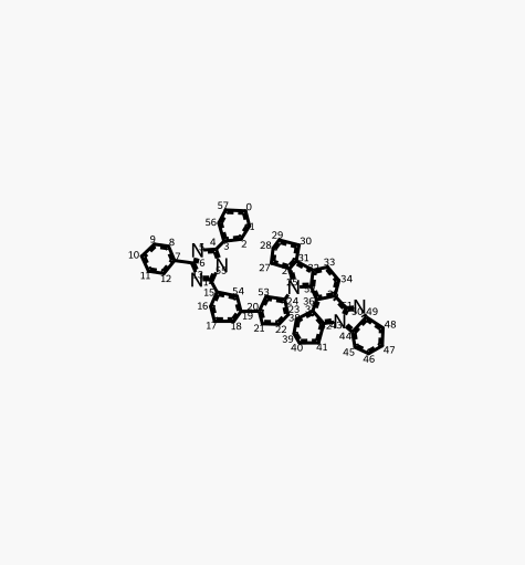 c1ccc(-c2nc(-c3ccccc3)nc(-c3cccc(-c4cccc(-n5c6ccccc6c6ccc7c(c8ccccc8n8c9ccccc9nc78)c65)c4)c3)n2)cc1